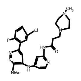 CNc1nnc(-c2cc(Cl)ccc2F)cc1Nc1ccnc(NC(=O)CCN2CCN(C)CC2)c1